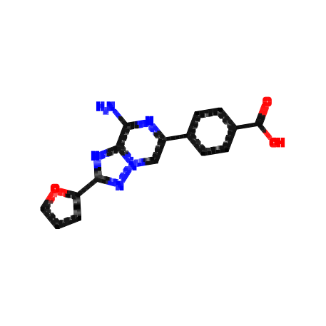 Nc1nc(-c2ccc(C(=O)O)cc2)cn2nc(-c3ccco3)nc12